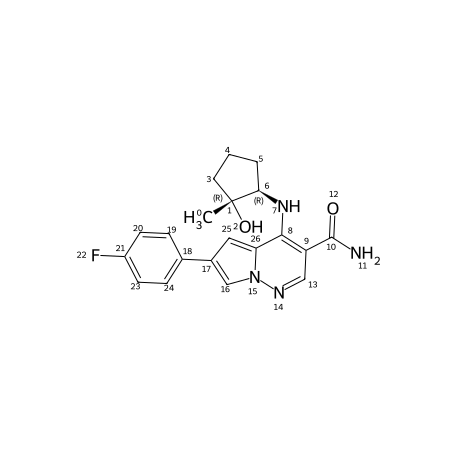 C[C@@]1(O)CCC[C@H]1Nc1c(C(N)=O)cnn2cc(-c3ccc(F)cc3)cc12